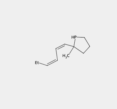 CC/C=C\C=C/C1(C)CCCP1